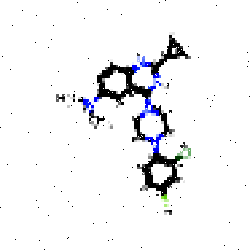 CN(C)c1ccc2nc(C3CC3)nc(N3CCN(c4ccc(F)cc4Cl)CC3)c2c1